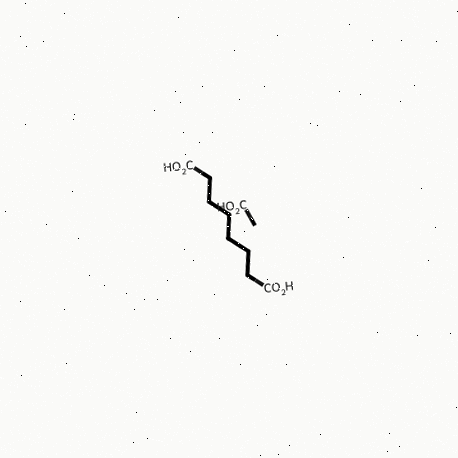 CC(=O)O.O=C(O)CCCCCCC(=O)O